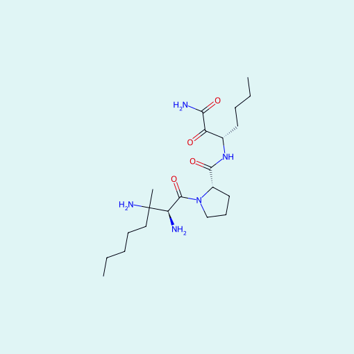 CCCCCC(C)(N)[C@H](N)C(=O)N1CCC[C@H]1C(=O)N[C@@H](CCCC)C(=O)C(N)=O